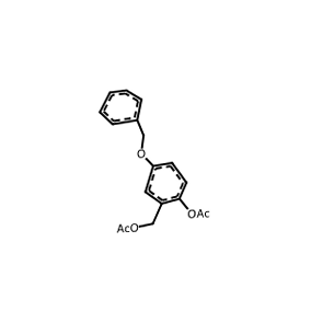 CC(=O)OCc1cc(OCc2ccccc2)ccc1OC(C)=O